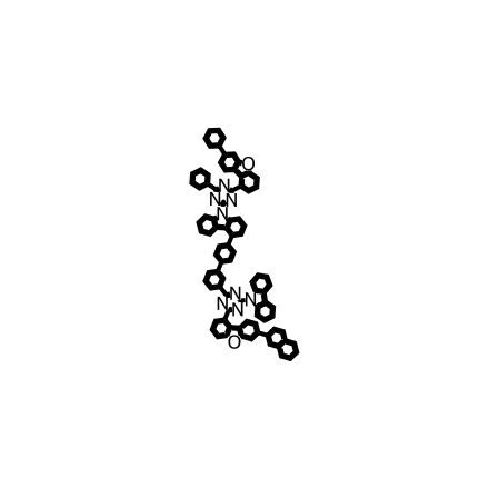 c1ccc(-c2ccc3c(c2)oc2cccc(-c4nc(-c5ccccc5)nc(-n5c6ccccc6c6c(-c7ccc(-c8cccc(-c9nc(-c%10cccc%11oc%12cc(-c%13ccc%14ccccc%14c%13)ccc%12c%10%11)nc(-n%10c%11ccccc%11c%11ccccc%11%10)n9)c8)cc7)cccc65)n4)c23)cc1